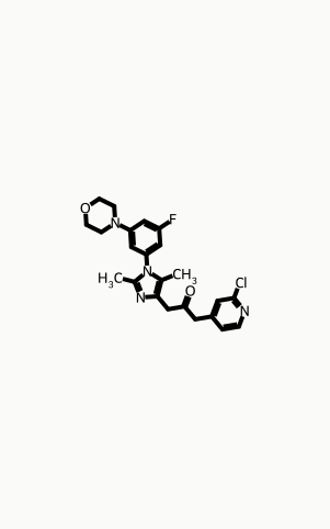 Cc1nc(CC(=O)Cc2ccnc(Cl)c2)c(C)n1-c1cc(F)cc(N2CCOCC2)c1